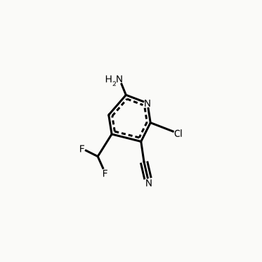 N#Cc1c(C(F)F)cc(N)nc1Cl